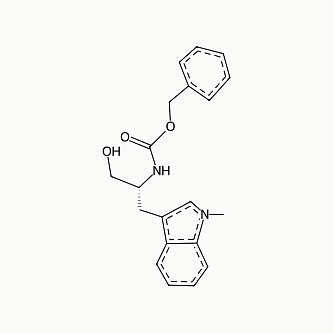 Cn1cc(C[C@H](CO)NC(=O)OCc2ccccc2)c2ccccc21